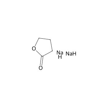 O=C1CCCO1.[NaH].[NaH]